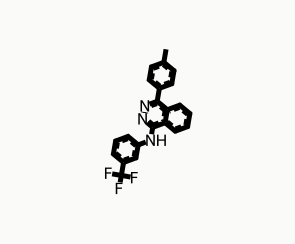 Cc1ccc(-c2nnc(Nc3cccc(C(F)(F)F)c3)c3ccccc23)cc1